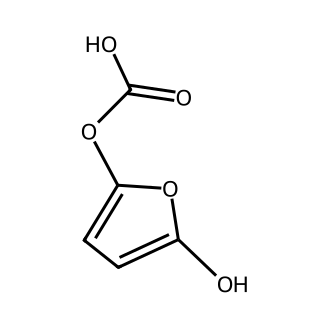 O=C(O)Oc1ccc(O)o1